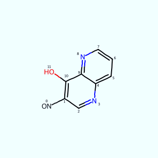 O=Nc1cnc2cccnc2c1O